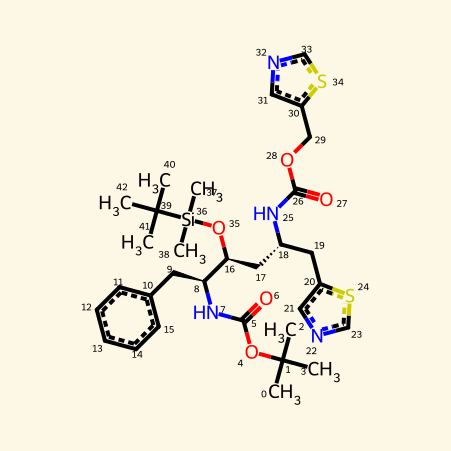 CC(C)(C)OC(=O)N[C@@H](Cc1ccccc1)[C@H](C[C@@H](Cc1cncs1)NC(=O)OCc1cncs1)O[Si](C)(C)C(C)(C)C